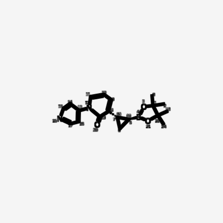 CC1(C)OB([C@H]2C[C@@H]2c2cccn(-c3ccncc3)c2=O)OC1(C)C